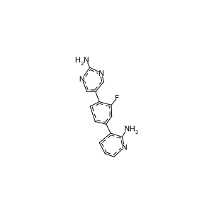 Nc1ncc(-c2ccc(-c3cccnc3N)cc2F)cn1